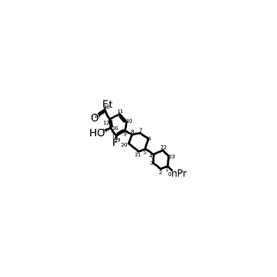 CCCC1CCC(C2CCC(c3ccc(C(=O)CC)c(O)c3F)CC2)CC1